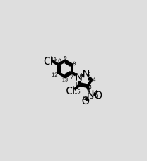 O=[N+]([O-])c1cnn(-c2ccc(Cl)cc2)c1Cl